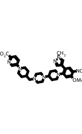 COc1cc(N2CCC(N3CCN(CC4CCN(c5ccc(C(=O)O)nc5)CC4)CC3)CC2)c(-c2cnn(C)c2)cc1[N+](=O)[O-]